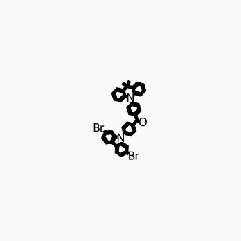 CC1(C)c2ccccc2N(c2ccc(C(=O)c3ccc(-n4c5cc(Br)ccc5c5ccc(Br)cc54)cc3)cc2)c2ccccc21